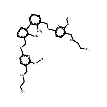 CCCNCc1ccc(OCc2cccc(-c3cccc(COc4ccc(CNCCO)c(OC)n4)c3C)c2C)nc1OC